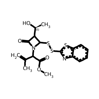 C=C(C)C(C(=O)OC)N1C(=O)C([C@H](C)O)C1SSc1nc2ccccc2s1